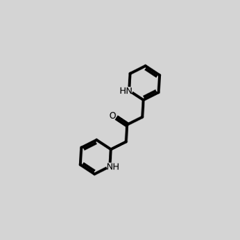 O=C(CC1=CC=CCN1)CC1C=CC=CN1